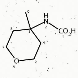 CC1(NC(=O)O)CCOCC1